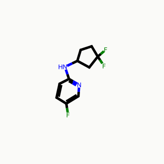 Fc1ccc(NC2CCC(F)(F)C2)nc1